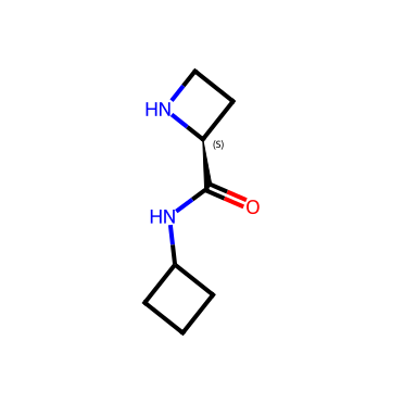 O=C(NC1CCC1)[C@@H]1CCN1